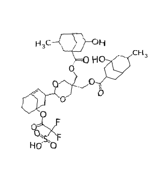 CC1CC2CC(C(=O)OCC3(COC(=O)C45CC(C)CC(CC(O)C4)C5)COC(C4C=C5CCCC(OC(=O)C(F)(F)S(=O)(=O)O)(C5)C4)OC3)CC(O)(C1)C2